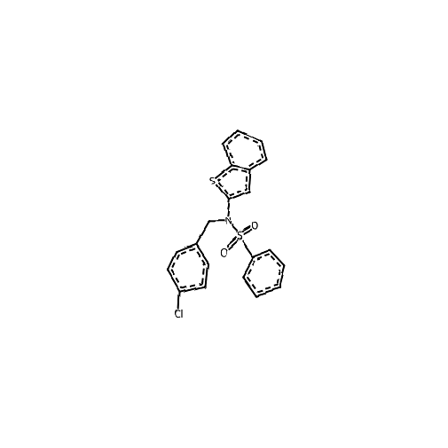 O=S(=O)(c1ccccc1)N(Cc1ccc(Cl)cc1)c1cc2ccccc2s1